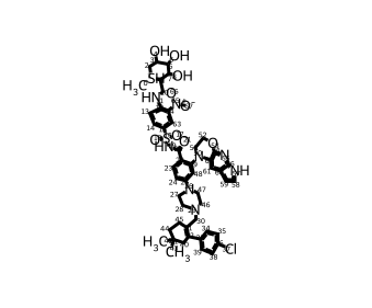 C[SH]1CC(O)C(O)C(O)C1CNc1ccc(S(=O)(=O)NC(=O)c2ccc(N3CCN(CC4=C(c5ccc(Cl)cc5)CC(C)(C)CC4)CC3)cc2N2CCOc3nc4[nH]ccc4cc32)cc1[N+](=O)[O-]